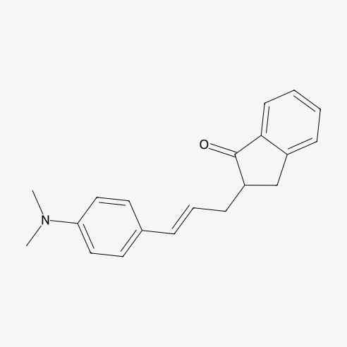 CN(C)c1ccc(C=CCC2Cc3ccccc3C2=O)cc1